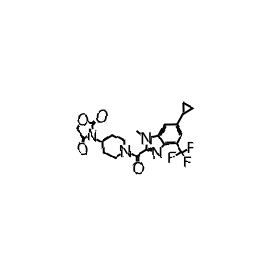 Cn1c(C(=O)N2CCC(N3C(=O)COC3=O)CC2)nc2c(C(F)(F)F)cc(C3CC3)cc21